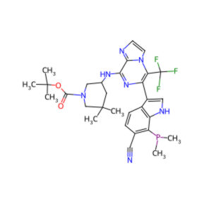 CP(C)c1c(C#N)ccc2c(-c3nc(NC4CN(C(=O)OC(C)(C)C)CC(C)(C)C4)c4nccn4c3C(F)(F)F)c[nH]c12